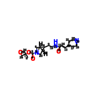 CC1(OC(=O)N2C[C@@H]3C(CCNC(=O)/C=C/c4ccncc4)[C@@H]3C2)COC1